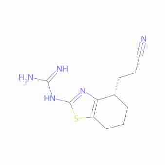 N#CCC[C@@H]1CCCc2sc(NC(=N)N)nc21